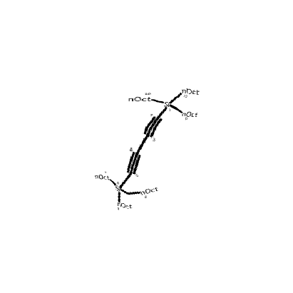 CCCCCCCC[Si](C#CC#C[Si](CCCCCCCC)(CCCCCCCC)CCCCCCCC)(CCCCCCCC)CCCCCCCC